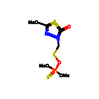 COc1nn(CSOP(=S)(OC)OC)c(=O)s1